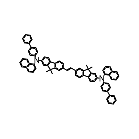 CC1(C)c2cc(/C=C/c3ccc4c(c3)C(C)(C)c3cc(N(c5ccc(-c6ccccc6)cc5)c5cccc6ccccc56)ccc3-4)ccc2-c2ccc(N(c3ccc(-c4ccccc4)cc3)c3cccc4ccccc34)cc21